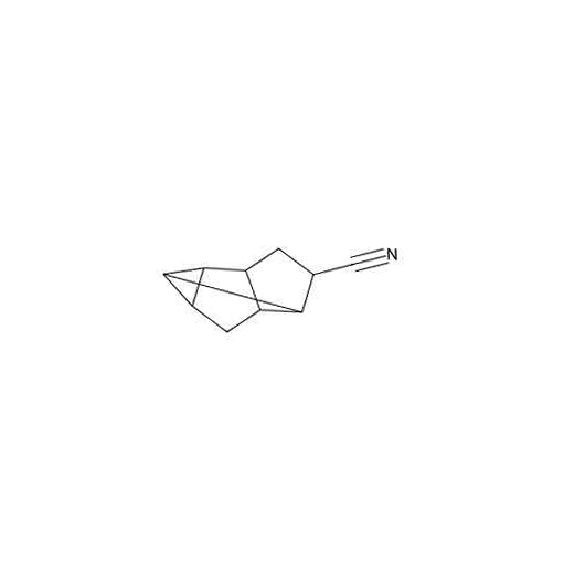 N#CC1CC2C3CC4C2C4C13